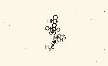 CCOC(=O)CN(CCn1c(=O)c2cc(F)c(NC3CCCCC3)cc2n(C2CCCC2)c1=O)C(C)C